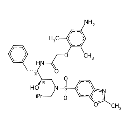 Cc1nc2ccc(S(=O)(=O)N(CC(C)C)C[C@@H](O)[C@H](Cc3ccccc3)NC(=O)COc3c(C)cc(N)cc3C)cc2o1